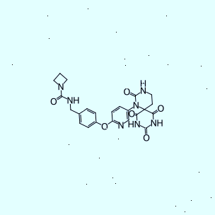 O=C1NC(=O)C2(CCNC(=O)N2c2ccc(Oc3ccc(CNC(=O)N4CCC4)cc3)nc2)C(=O)N1